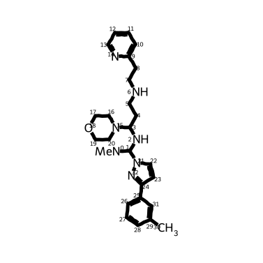 CNC(NC(CCNCCc1ccccn1)N1CCOCC1)n1ccc(-c2cccc(C)c2)n1